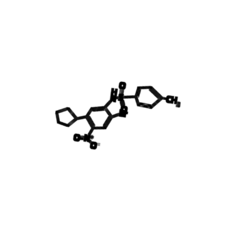 Cc1ccc(S(=O)(=O)Nc2cc(C3CCCC3)c([N+](=O)[O-])cc2Br)cc1